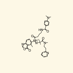 Cc1c(N(NC(C)(C)C(=O)N(C)CCc2ccccn2)C(=O)CCCNC(=O)c2ccc(N(C)C)cc2)ccc2ncoc(=O)c12